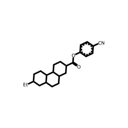 CCC1CCC2C(CCC3CC(C(=O)Oc4ccc(C#N)cc4)CCC32)C1